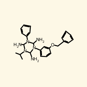 CC(C)N1C(N)N(c2ccccc2)C(N)N(c2cccc(OCc3ccccc3)c2)C1N